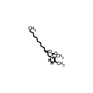 CCCCCCCCCCCC[N+]1(C(=O)O)N=NC(C)=C1C